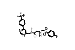 O=C(CNCS(=O)(=O)c1ccc(F)cc1)NCc1cc(-c2ccc(C(F)(F)F)cc2)ncn1